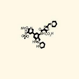 C1CCNCC1.COc1ncc(-c2cc(NC(=O)c3nc(CN4CCCCC4)sc3C(=O)O)c3cn[nH]c3c2)cc1NS(C)(=O)=O